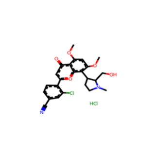 COc1cc(OC)c2c(=O)cc(-c3ccc(C#N)cc3Cl)oc2c1C1CCN(C)C1CO.Cl